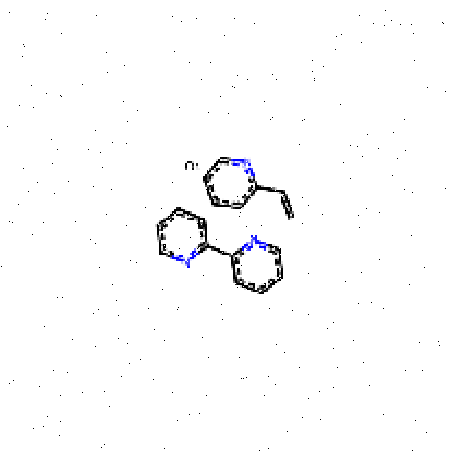 C=Cc1ccccn1.[Os].c1ccc(-c2ccccn2)nc1